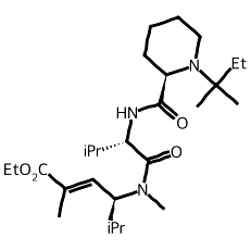 CCOC(=O)/C(C)=C/[C@H](C(C)C)N(C)C(=O)[C@@H](NC(=O)[C@H]1CCCCN1C(C)(C)CC)C(C)C